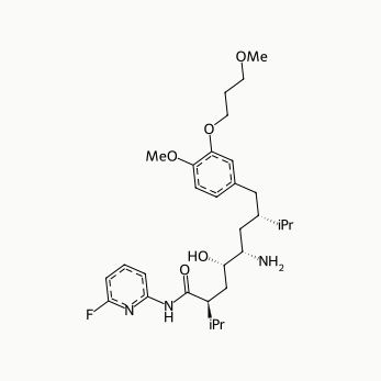 COCCCOc1cc(C[C@@H](C[C@H](N)[C@@H](O)C[C@H](C(=O)Nc2cccc(F)n2)C(C)C)C(C)C)ccc1OC